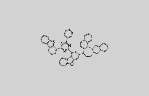 c1ccc(-c2nc(-c3cccc4c3sc3ccccc34)nc(-c3cc(C4CCc5cc6ccccc6cc5-c5c4ccc4ccccc54)cc4oc5ccccc5c34)n2)cc1